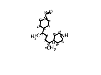 CC(CCC(C)C1CCN(C=O)CC1)C1CCNCC1